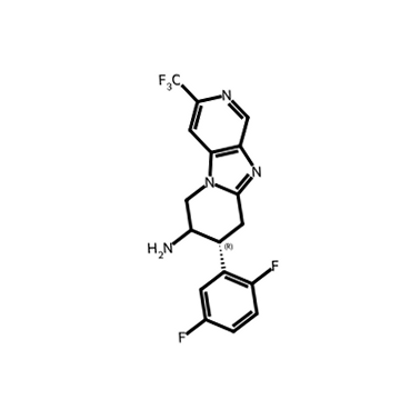 NC1Cn2c(nc3cnc(C(F)(F)F)cc32)C[C@@H]1c1cc(F)ccc1F